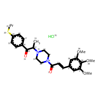 COc1cc(/C=C/C(=O)N2CCN(C(C)C(=O)c3ccc(SC(C)C)cc3)CC2)cc(OC)c1OC.Cl